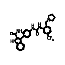 NC(=O)c1[nH]c2ccccc2c1-c1ccc(NC(=O)Nc2cc(C(F)(F)F)ccc2CN2CCCC2)cc1